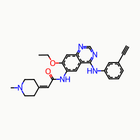 C#Cc1cccc(Nc2ncnc3cc(OCC)c(NC(=O)C=C4CCN(C)CC4)cc23)c1